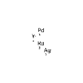 [Ag].[Pd].[Ru].[Y]